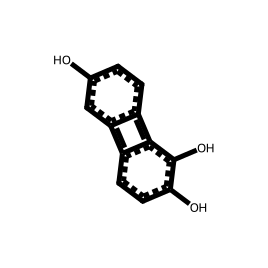 Oc1ccc2c(c1)=c1ccc(O)c(O)c1=2